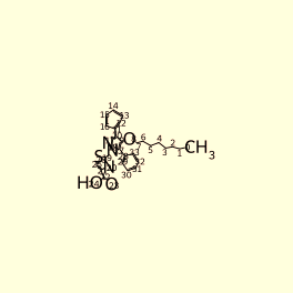 CCCCCCCCOc1c(-c2ccccc2)nn(-c2nc(C(=O)O)cs2)c1-c1ccccc1